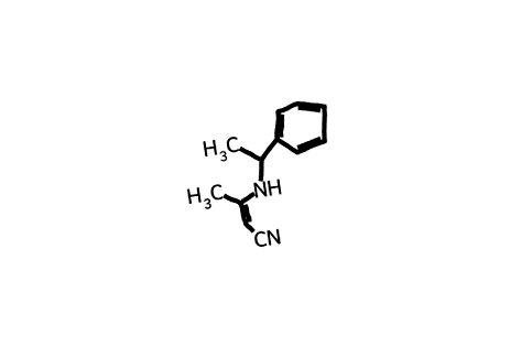 C/C(=C/C#N)NC(C)c1ccccc1